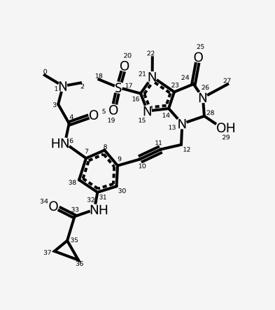 CN(C)CC(=O)Nc1cc(C#CCN2c3nc(S(C)(=O)=O)n(C)c3C(=O)N(C)C2O)cc(NC(=O)C2CC2)c1